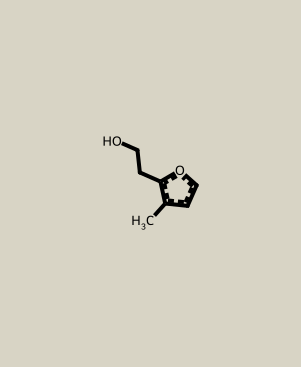 Cc1ccoc1CCO